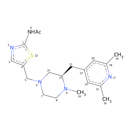 CC(=O)Nc1ncc(CN2CCN(C)[C@H](Cc3cc(C)nc(C)c3)C2)s1